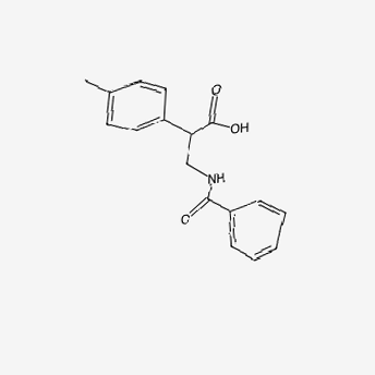 Cc1ccc(C(CNC(=O)c2ccccc2)C(=O)O)cc1